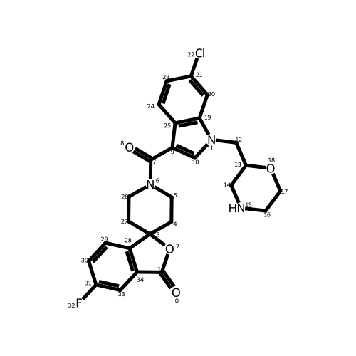 O=C1OC2(CCN(C(=O)c3cn(CC4CNCCO4)c4cc(Cl)ccc34)CC2)c2ccc(F)cc21